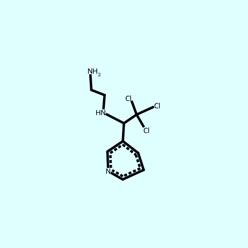 NCCNC(c1cccnc1)C(Cl)(Cl)Cl